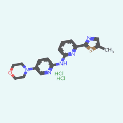 Cc1cnc(-c2cccc(Nc3ccc(N4CCOCC4)cn3)n2)s1.Cl.Cl